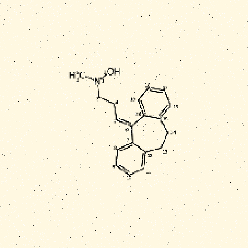 CN(O)CCC=C1c2ccccc2CCc2ccccc21